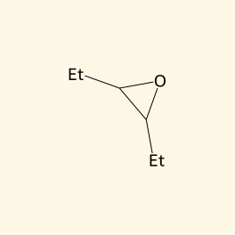 [CH2]CC1OC1CC